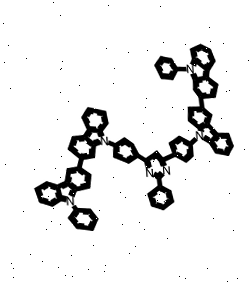 c1ccc(-c2nc(-c3ccc(-n4c5ccccc5c5cc(-c6ccc7c8ccccc8n(-c8ccccc8)c7c6)ccc54)cc3)cc(-c3ccc(-n4c5ccccc5c5ccc(-c6ccc7c(c6)c6ccccc6n7-c6ccccc6)cc54)cc3)n2)cc1